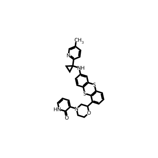 Cc1ccc(C2(Nc3ccc4c(c3)Sc3cccc(C5CN(c6ccc[nH]c6=O)CCO5)c3S4)CC2)nc1